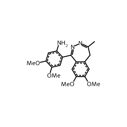 COc1cc(N)c(C2=NN=C(C)Cc3cc(OC)c(OC)cc32)cc1OC